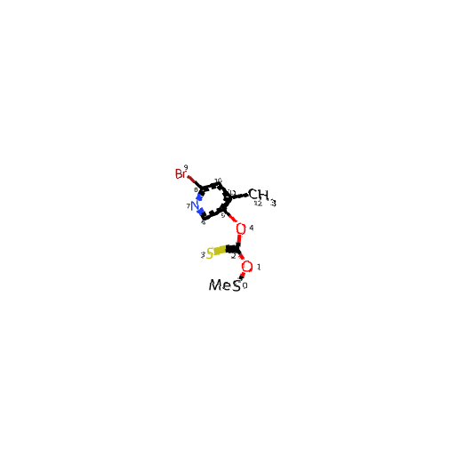 CSOC(=S)Oc1cnc(Br)cc1C